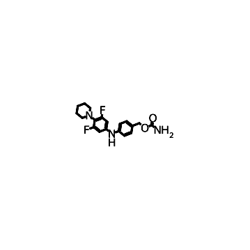 NC(=O)OCc1ccc(Nc2cc(F)c(N3CCCCC3)c(F)c2)cc1